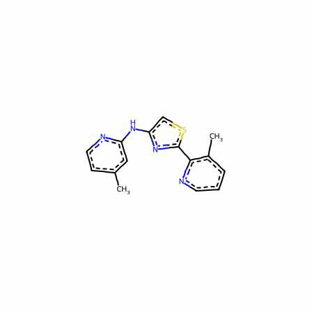 Cc1ccnc(Nc2csc(-c3ncccc3C)n2)c1